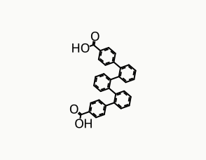 O=C(O)c1ccc(-c2ccccc2-c2ccccc2-c2ccccc2-c2ccc(C(=O)O)cc2)cc1